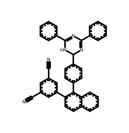 N#Cc1cc(C#N)cc(-c2ccc3ccccc3c2-c2ccc(C3N=C(c4ccccc4)N=C(c4ccccc4)N3)cc2)c1